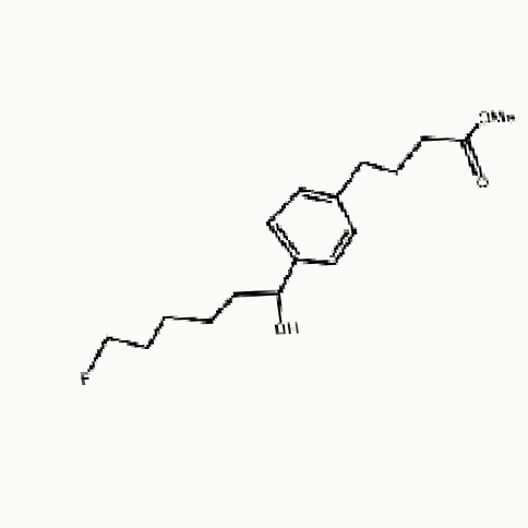 COC(=O)CCCc1ccc(C(O)CCCCCF)cc1